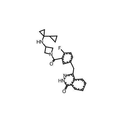 O=C(c1cc(Cc2n[nH]c(=O)c3ccccc23)ccc1F)N1CC(NC2(C3CC3)CC2)C1